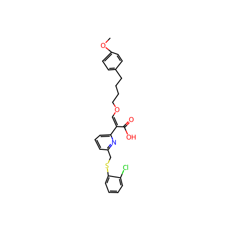 COc1ccc(CCCCOC=C(C(=O)O)c2cccc(CSc3ccccc3Cl)n2)cc1